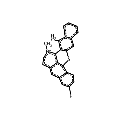 Cc1c2c(cc3ccccc13)Sc1c3ccc(F)cc3cc3cc[n+](C)c-2c13